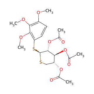 COc1ccc(S[C@@H]2SC[C@@H](OC(C)=O)[C@H](OC(C)=O)[C@H]2OC(C)=O)c(OC)c1OC